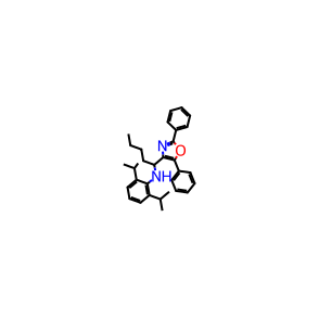 CCCCC(Nc1c(C(C)C)cccc1C(C)C)c1nc(-c2ccccc2)oc1-c1ccccc1